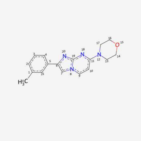 Cc1cccc(-c2cn3ccc(N4CCOCC4)nc3n2)c1